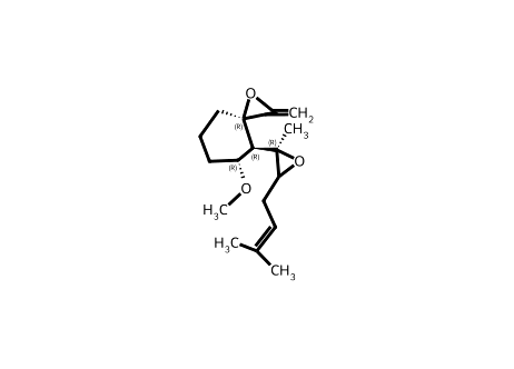 C=C1O[C@@]12CCC[C@@H](OC)[C@@H]2[C@@]1(C)OC1CC=C(C)C